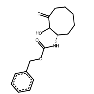 O=C(N[C@H]1CCCCCC(=O)C1O)OCc1ccccc1